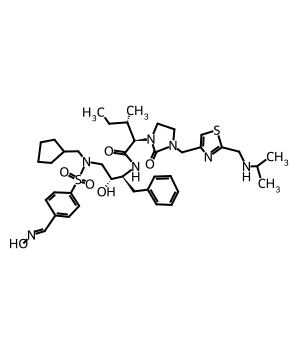 CC[C@H](C)[C@H](C(=O)N[C@@H](Cc1ccccc1)[C@H](O)CN(CC1CCCC1)S(=O)(=O)c1ccc(C=NO)cc1)N1CCN(Cc2csc(CNC(C)C)n2)C1=O